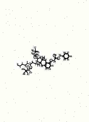 CCCCC[C@@H](CC[C@H]1C(O[Si](C)(C)C(C)(C)C)C[C@@H]2Cc3c(cccc3OCC(=O)OCc3ccccc3)C[C@@H]21)O[Si](C)(C)C(C)(C)C